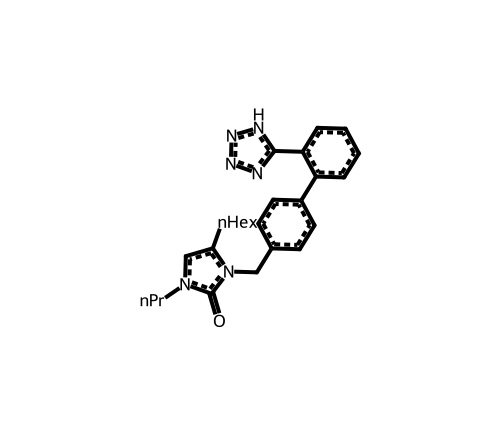 CCCCCCc1cn(CCC)c(=O)n1Cc1ccc(-c2ccccc2-c2nnn[nH]2)cc1